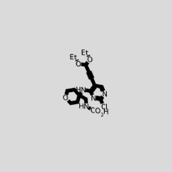 CCOC(C#Cc1cnc(Cl)nc1NC1(CNC(=O)O)CCOCC1)OCC